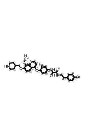 COc1c(OCC2CCNCC2)ccc2c(Oc3ccc(NC(=O)C(=O)NCCc4ccc(Br)cc4)cc3F)ccnc12